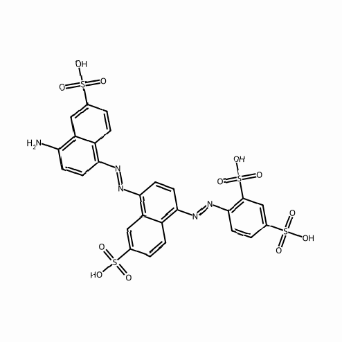 Nc1ccc(N=Nc2ccc(N=Nc3ccc(S(=O)(=O)O)cc3S(=O)(=O)O)c3ccc(S(=O)(=O)O)cc23)c2ccc(S(=O)(=O)O)cc12